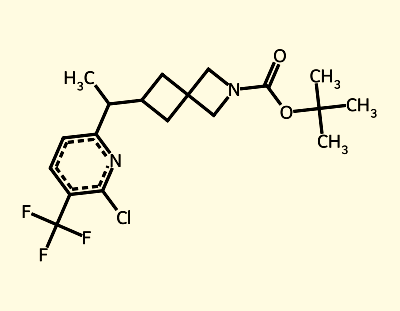 CC(c1ccc(C(F)(F)F)c(Cl)n1)C1CC2(C1)CN(C(=O)OC(C)(C)C)C2